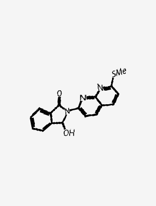 CSc1ccc2ccc(N3C(=O)c4ccccc4C3O)nc2n1